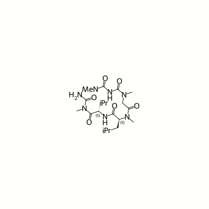 CNC(=O)NC(=O)N(C)CC(=O)N(C)[C@@H](CC(C)C)C(=O)N[C@H](C(=O)N(C)C(N)=O)C(C)C